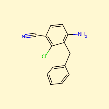 N#Cc1ccc(N)c(Cc2ccccc2)c1Cl